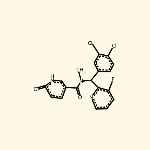 CN(C(=O)c1ccc(=O)[nH]c1)[C@@H](c1ccc(Cl)c(Cl)c1)c1ncccc1F